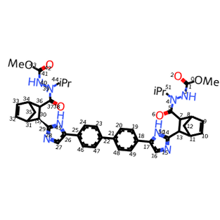 COC(=O)NN(C(=O)C1C2C=CC(C2)C1c1ncc(-c2ccc(-c3ccc(-c4cnc([C@H]5C6C=CC(C6)C5C(=O)N(NC(=O)OC)C(C)C)[nH]4)cc3)cc2)[nH]1)C(C)C